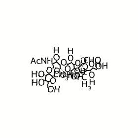 CC(=O)NC1C(O)[C@H](OC2OC(CO)[C@H](O)[C@H](O[C@]3(OC=O)C[C@@H](O)[C@@H](C)C([C@H](O)C(O)CO)O3)[C@@H]2O)[C@H](CO)O[C@H]1OC1[C@@H](O)[C@H](O)C(CO)O[C@@H]1C